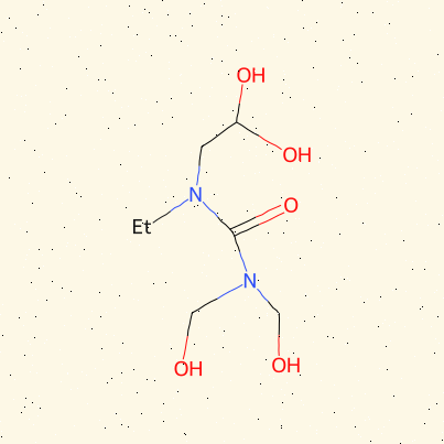 CCN(CC(O)O)C(=O)N(CO)CO